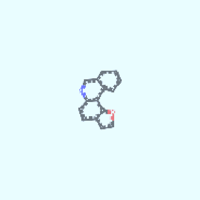 c1ccc2c(c1)cnc1ccc3ccoc3c12